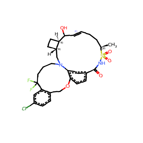 C[C@@H]1CC/C=C/C(O)[C@@H]2CC[C@H]2CN2CCCC(F)(F)c3cc(Cl)ccc3COc3ccc(cc32)C(=O)NS1(=O)=O